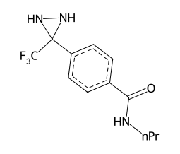 CCCNC(=O)c1ccc(C2(C(F)(F)F)NN2)cc1